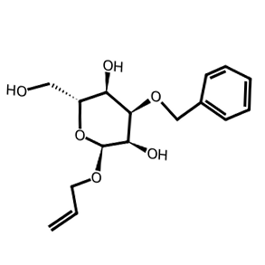 C=CCO[C@H]1O[C@H](CO)[C@@H](O)[C@@H](OCc2ccccc2)[C@H]1O